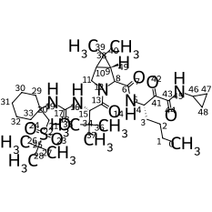 CCCC[C@H](NC(=O)C1[C@@H]2C(CN1C(=O)[C@@H](NC(=O)NC1(CS(=O)(=O)C(C)(C)C)CCCCC1)C(C)(C)C)C2(C)C)C(=O)C(=O)NC1CC1